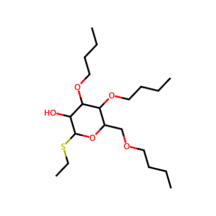 CCCCOCC1OC(SCC)C(O)C(OCCCC)C1OCCCC